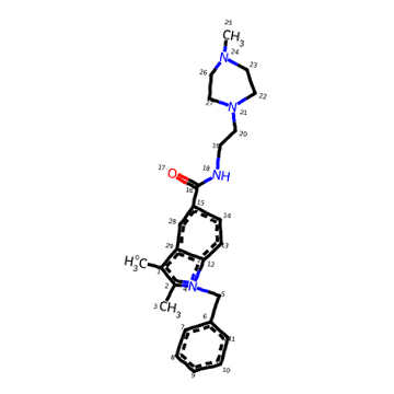 Cc1c(C)n(Cc2ccccc2)c2ccc(C(=O)NCCN3CCN(C)CC3)cc12